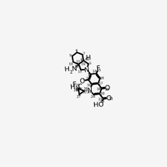 COc1c(N2C[C@@H]3CCCC[C@@]3(N)C2)c(F)cc2c(=O)c(C(=O)O)cn([C@@H]3C[C@@H]3F)c12